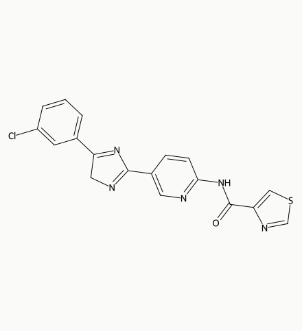 O=C(Nc1ccc(C2=NCC(c3cccc(Cl)c3)=N2)cn1)c1cscn1